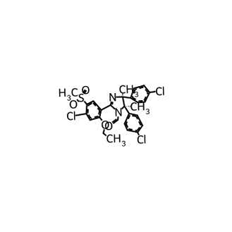 CCOc1cc(Cl)c(S(C)(=O)=O)cc1C1=N[C@@](C)(c2ccc(Cl)cc2)[C@@](C)(c2ccc(Cl)cc2)N1C=O